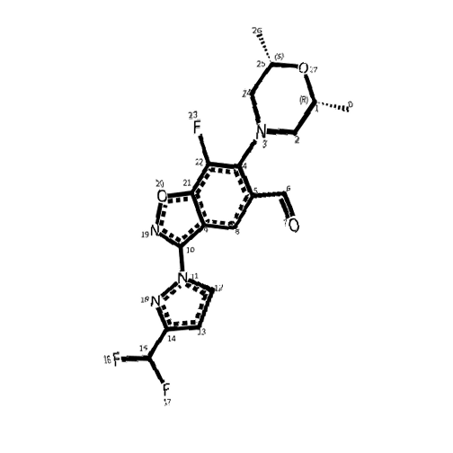 C[C@@H]1CN(c2c(C=O)cc3c(-n4ccc(C(F)F)n4)noc3c2F)C[C@H](C)O1